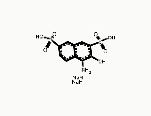 Nc1c(O)c(S(=O)(=O)O)cc2cc(S(=O)(=O)O)ccc12.[NaH].[NaH]